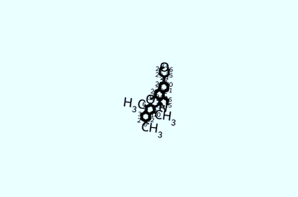 Cc1ccc2c(C)c3c(c(C)c2c1)-c1nccc2c1c(cc1cc(C4CCOCC4)ccc12)O3